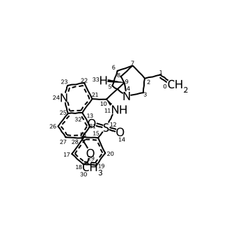 C=CC1CN2CCC1C[C@H]2[C@@H](NS(=O)(=O)c1ccccc1)c1ccnc2ccc(OC)cc12